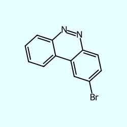 Brc1ccc2nnc3ccccc3c2c1